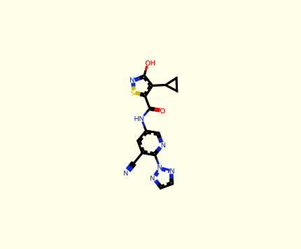 N#Cc1cc(NC(=O)c2snc(O)c2C2CC2)cnc1-n1nccn1